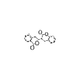 O=C1OC(C2Cc3ccccc3OC2=O)Cc2[c]cccc21